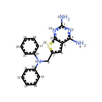 Nc1nc(N)c2cc(CN(c3ccccc3)c3ccccc3)sc2n1